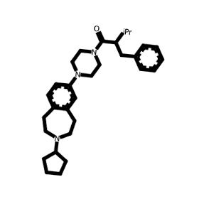 CC(C)C(Cc1ccccc1)C(=O)N1CCN(c2ccc3c(c2)CCN(C2CCCC2)CC3)CC1